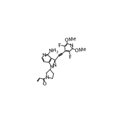 C=CC(=O)N1CC[C@H](n2nc(C#Cc3c(F)c(OC)nc(OC)c3F)c3c(N)nccc32)C1